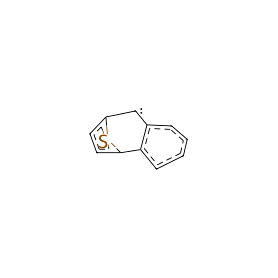 [C]1c2ccc(s2)-c2ccccc21